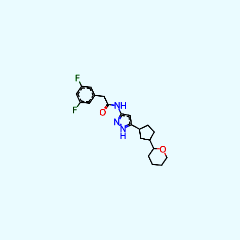 O=C(Cc1cc(F)cc(F)c1)Nc1cc(C2CCC(C3CCCCO3)C2)[nH]n1